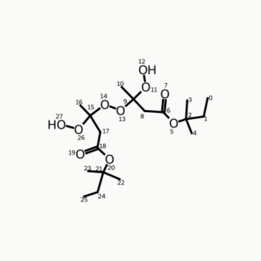 CCC(C)(C)OC(=O)CC(C)(OO)OOC(C)(CC(=O)OC(C)(C)CC)OO